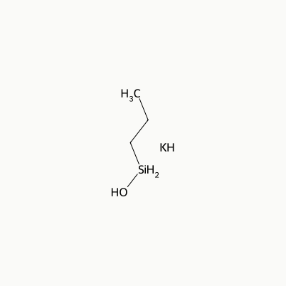 CCC[SiH2]O.[KH]